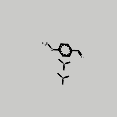 CN(C)C.CN(C)C.O=Cc1ccc(O[SiH3])cc1